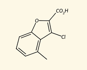 Cc1cccc2oc(C(=O)O)c(Cl)c12